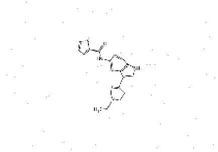 CCN1CC=C(c2c[nH]c3ccc(NC(=O)c4cccs4)nc23)CC1